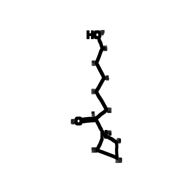 O=C(CCCCCO)N1CCC1